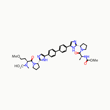 COCC[C@@H](C(=O)N1CCC[C@H]1c1ncc(-c2ccc(-c3ccc(-c4cnc([C@@H]5CCCN5C(=O)[C@H](C)NC(=O)OC)[nH]4)cc3)cc2)[nH]1)N(C)C(=O)O